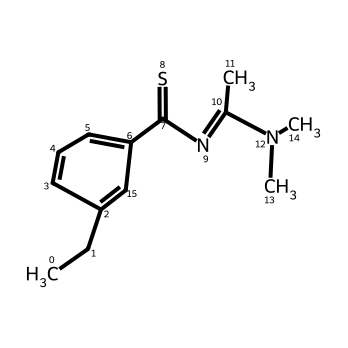 CCc1cccc(C(=S)/N=C(\C)N(C)C)c1